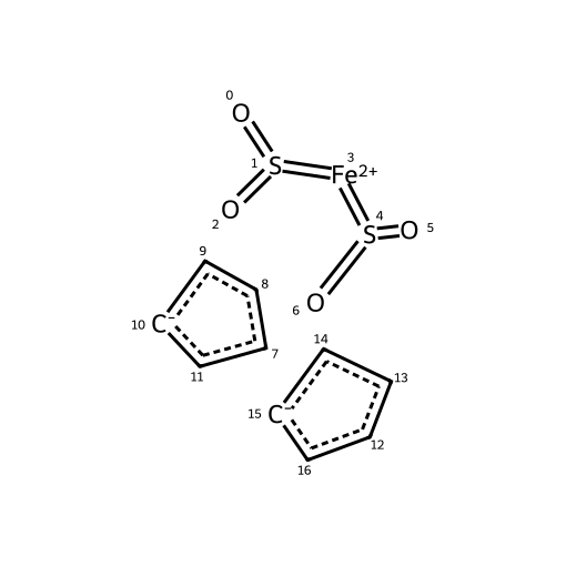 O=[S](=O)=[Fe+2]=[S](=O)=O.c1cc[cH-]c1.c1cc[cH-]c1